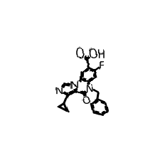 O=C(O)c1cc2c(cc1F)n(Cc1ccccc1)c(=O)c1c(C3CC3)ncn12